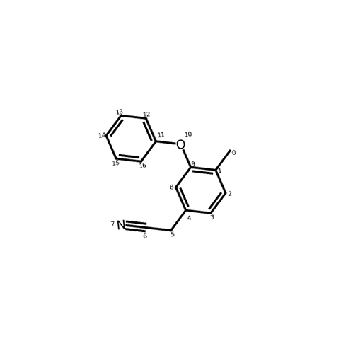 Cc1ccc(CC#N)cc1Oc1ccccc1